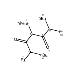 CCCCCC(C(=O)C(CC)CCCC)C(=O)C(CC)CCCC